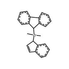 [CH3][Zr]([CH3])([CH]1C=Cc2ccccc21)[CH]1c2ccccc2-c2ccccc21